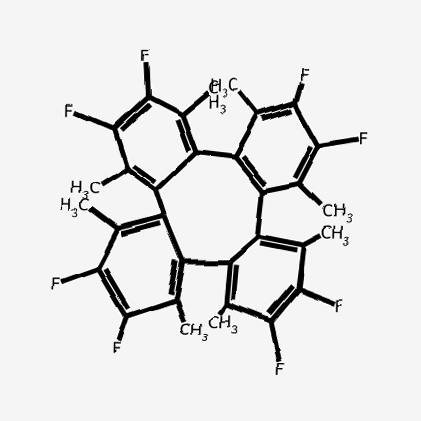 Cc1c(F)c(F)c(C)c2c1-c1c(C)c(F)c(F)c(C)c1-c1c(C)c(F)c(F)c(C)c1-c1c(C)c(F)c(F)c(C)c1-2